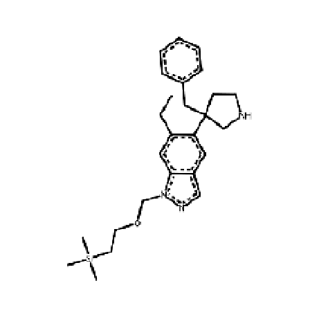 CCc1cc2c(cnn2COCC[Si](C)(C)C)cc1C1(Cc2ccccc2)CCNC1